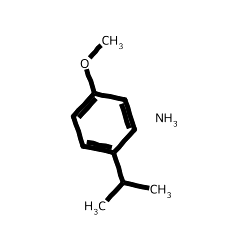 COc1ccc(C(C)C)cc1.N